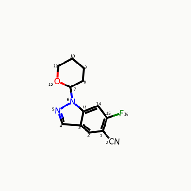 N#Cc1cc2cnn(C3CCCCO3)c2cc1F